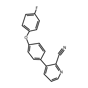 N#Cc1ncccc1-c1ccc(Oc2ccc(F)cc2)cc1